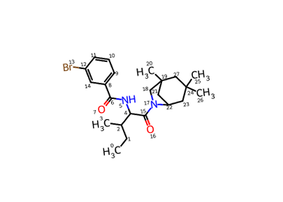 CCC(C)C(NC(=O)c1cccc(Br)c1)C(=O)N1CC2(C)CC1CC(C)(C)C2